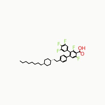 CCCCCCCC[C@H]1CC[C@H](CCc2ccc(-c3cc(F)c(C(=O)O)c(F)c3-c3cc(F)c(F)c(F)c3)cc2)CC1